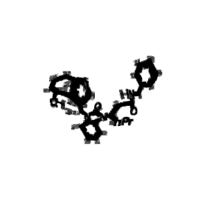 CCCC(CC(=O)NCc1ccccc1)n1c(=O)n(Cc2csc3c2C(C)=CCC3)c2ccccc21